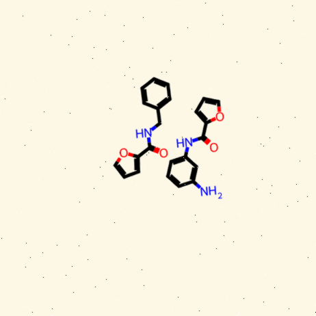 Nc1cccc(NC(=O)c2ccco2)c1.O=C(NCc1ccccc1)c1ccco1